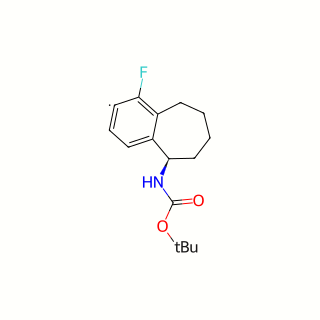 CC(C)(C)OC(=O)N[C@@H]1CCCCc2c(F)[c]ccc21